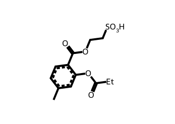 CCC(=O)Oc1cc(C)ccc1C(=O)OCCS(=O)(=O)O